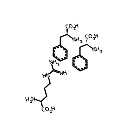 N=C(N)NCCC[C@H](N)C(=O)O.N[C@@H](Cc1ccccc1)C(=O)O.N[C@H](Cc1ccccc1)C(=O)O